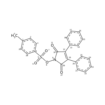 Cc1ccc(S(=O)(=O)ON2C(=O)C(c3ccccc3)=C(c3ccccc3)C2=O)cc1